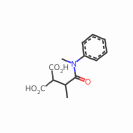 CC(C(=O)N(C)c1ccccc1)C(C(=O)O)C(=O)O